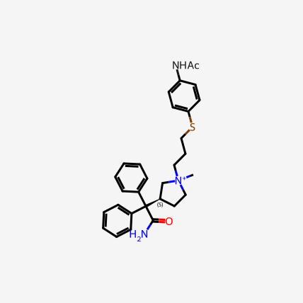 CC(=O)Nc1ccc(SCCC[N+]2(C)CC[C@@H](C(C(N)=O)(c3ccccc3)c3ccccc3)C2)cc1